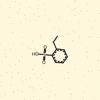 C[CH]c1ccccc1S(=O)(=O)O